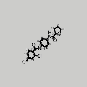 O=C(Nc1ccc(NC(=O)C2CCCO2)cc1)c1ccc(Cl)cc1Cl